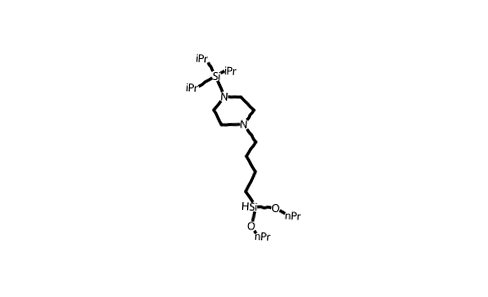 CCCO[SiH](CCCCN1CCN([Si](C(C)C)(C(C)C)C(C)C)CC1)OCCC